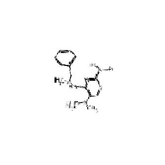 CCN(CC)c1ncc(N(C)C)c(N[C@H](C)Cc2ccccc2)n1